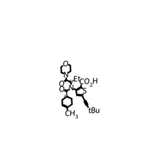 CC[C@@H](C(=O)N1CCOCC1)N(C(=O)[C@@H]1CC=C(C)CC1)c1cc(C#CC(C)(C)C)sc1C(=O)O